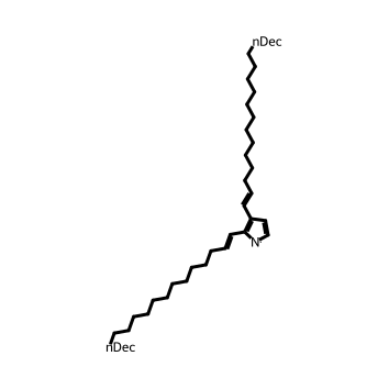 CCCCCCCCCCCCCCCCCCCCC/C=C/C1=C(/C=C/CCCCCCCCCCCCCCCCCCCCC)[N]C=C1